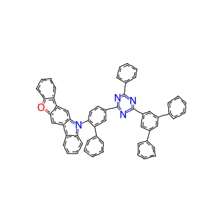 c1ccc(-c2cc(-c3ccccc3)cc(-c3nc(-c4ccccc4)nc(-c4ccc(-n5c6ccccc6c6cc7oc8ccccc8c7cc65)c(-c5ccccc5)c4)n3)c2)cc1